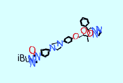 CCC(C)n1ncn(-c2ccc(N3CCN(c4ccc(OC[C@H]5O[C@](Cn6nccn6)(c6ccccc6)OC5C)cc4)CC3)cc2)c1=O